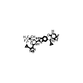 [2H]C1([2H])N([C@@H](c2ccc3[nH]c([C@H](COC(C)(C)C(F)(F)F)NC(=O)c4nonc4C4CC4)nc3c2)C2CC2)C(=O)NCC1(F)F